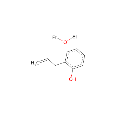 C=CCc1ccccc1O.CCOCC